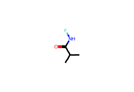 CC(C)C(=O)NF